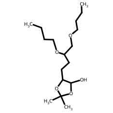 CCCCOCC(CCC1OC(C)(C)OC1O)OCCCC